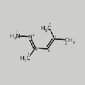 CC(C)=CC(C)=NN